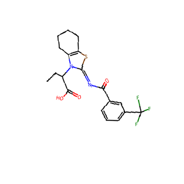 CCC(C(=O)O)n1c2c(s/c1=N\C(=O)c1cccc(C(F)(F)F)c1)CCCC2